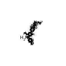 CCCc1cc(N2CCN(S(=O)(=O)c3cnn(CCC)c3)[C@H](C)C2)c(C)cc1N(N)c1ccc(OC)nc1